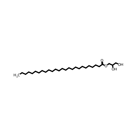 CCCCCCCCCCCCCCCCCCCCCCCCCC(=O)OCC(O)CO